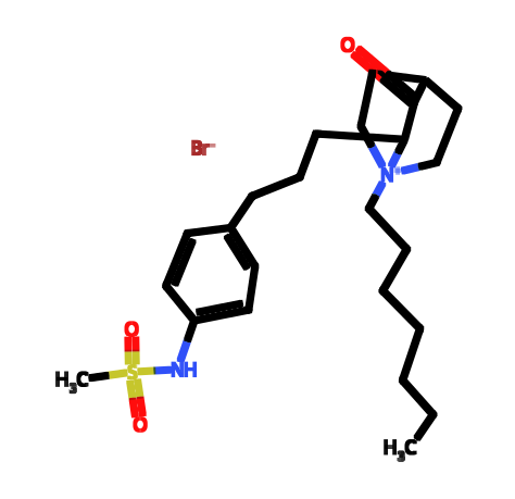 CCCCCCC[N+]12CCC(CC1)C(=O)C2CCCc1ccc(NS(C)(=O)=O)cc1.[Br-]